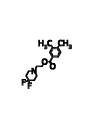 Cc1ccc(C(=O)OCCN2CCC(F)(F)CC2)cc1C